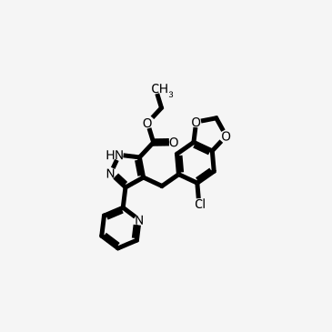 CCOC(=O)c1[nH]nc(-c2ccccn2)c1Cc1cc2c(cc1Cl)OCO2